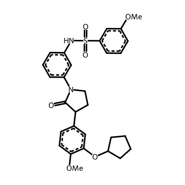 COc1cccc(S(=O)(=O)Nc2cccc(N3CCC(c4ccc(OC)c(OC5CCCC5)c4)C3=O)c2)c1